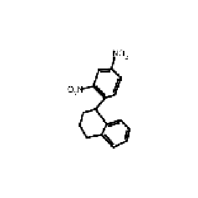 O=[N+]([O-])c1ccc(C2CCCc3ccccc32)c([N+](=O)[O-])c1